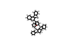 c1ccc(-n2c3ccccc3c3ccc4c5ccccc5n(-c5ccc(-c6nc7ccccc7c7c6sc6ccccc67)cc5)c4c32)cc1